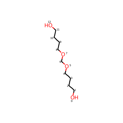 OCCCCOCOCCCCO